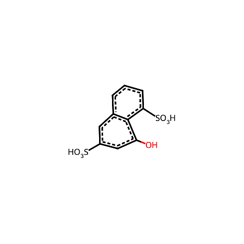 O=S(=O)(O)c1cc(O)c2c(S(=O)(=O)O)cccc2c1